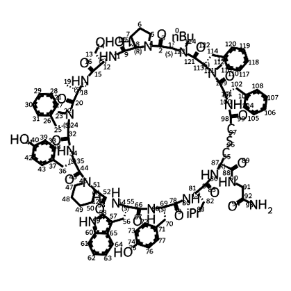 CCCC[C@H]1C(=O)N2CCC[C@@H]2C(=O)N[C@@H](CO)C(=O)N[C@@H](C)C(=O)N(C)[C@@H](Cc2ccccc2)C(=O)N[C@@H](Cc2ccc(O)cc2)C(=O)N2CCCC[C@@H]2C(=O)N[C@@H](Cc2c[nH]c3ccccc23)C(=O)N[C@@H](Cc2ccc(O)cc2)C(=O)N[C@@H](CC(C)C)C(=O)N[C@H](C(=O)NCC(N)=O)CSCC(=O)N[C@@H](Cc2ccccc2)C(=O)N(C)[C@@H](Cc2ccccc2)C(=O)N1C